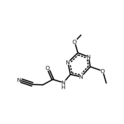 COc1nc(NC(=O)CC#N)nc(OC)n1